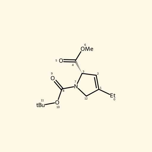 CCC1=C[C@@H](C(=O)OC)N(C(=O)OC(C)(C)C)C1